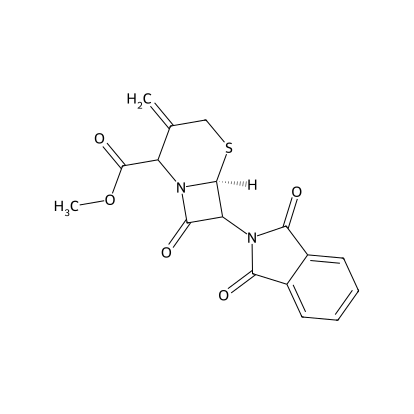 C=C1CS[C@H]2C(N3C(=O)c4ccccc4C3=O)C(=O)N2C1C(=O)OC